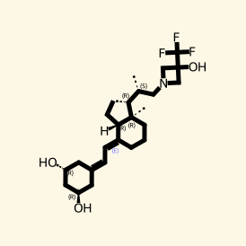 C[C@H](CN1CC(O)(C(F)(F)F)C1)[C@H]1CC[C@H]2/C(=C/C=C3C[C@@H](O)C[C@H](O)C3)CCC[C@]12C